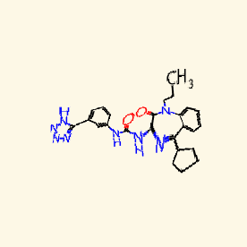 CCCN1C(=O)[C@H](NC(=O)Nc2cccc(-c3nnn[nH]3)c2)N=C(C2CCCC2)c2ccccc21